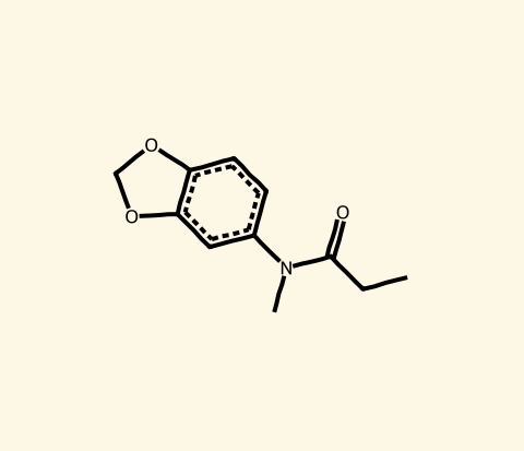 CCC(=O)N(C)c1ccc2c(c1)OCO2